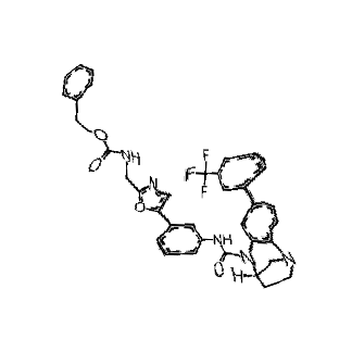 O=C(NCc1ncc(-c2cccc(NC(=O)N3c4cc(-c5cccc(C(F)(F)F)c5)ccc4N4CC[C@H]3C4)c2)o1)OCc1ccccc1